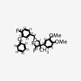 COc1ccc(C(C)(COCc2ccc(F)c(Oc3ccccc3)c2)C(F)F)cc1OC